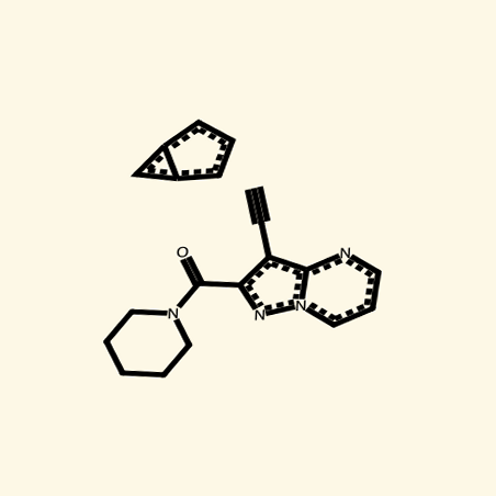 C#Cc1c(C(=O)N2CCCCC2)nn2cccnc12.c1cc2cc-2c1